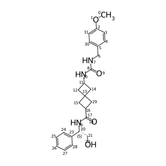 COc1ccc(CNC(=O)NC2CC3(C2)CC(C(=O)N[C@H](CO)c2ccccc2)C3)cc1